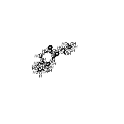 CC(c1ccccc1)C1NC(=O)CNC(=O)C(CO)NC(=O)C(C(O)C2CNC(=N)N2C2OC(CO)C(O)C(O)C2O)NC(=O)C(C(O)C2CNC(=N)N2)NC(=O)C(Cc2ccc(OC3OC(CO)C(OC4OC(CO)C(O)C(O)C4O)C(O)C3O)cc2)NC1=O